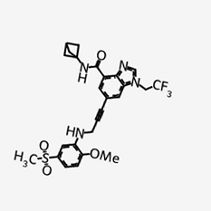 COc1ccc(S(C)(=O)=O)cc1NCC#Cc1cc(C(=O)NC23CC(C2)C3)c2ncn(CC(F)(F)F)c2c1